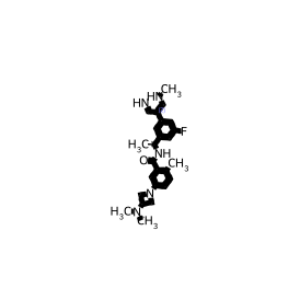 CN/C=C(\C=N)c1cc(F)cc([C@@H](C)NC(=O)c2cc(N3CC(N(C)C)C3)ccc2C)c1